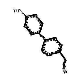 Oc1ccc(-c2ccc(CBr)cc2)cc1